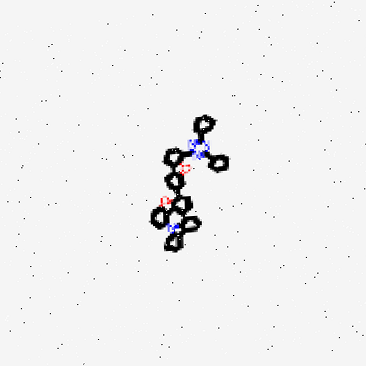 c1ccc(-c2nc(-c3ccccc3)nc(-c3cccc4c3oc3cc(-c5cccc6c5oc5cccc(-n7c8ccccc8c8ccccc87)c56)ccc34)n2)cc1